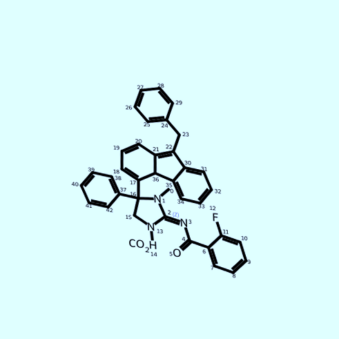 CN1/C(=N/C(=O)c2ccccc2F)N(C(=O)O)CC1(C1=CC=CC2=C(Cc3ccccc3)c3ccccc3C12)c1ccccc1